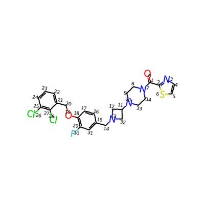 O=C(c1nccs1)N1CCN(C2CN(Cc3ccc(OCc4cccc(Cl)c4Cl)c(F)c3)C2)CC1